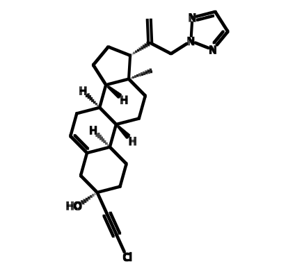 C=C(Cn1nccn1)[C@H]1CC[C@H]2[C@@H]3CC=C4C[C@](O)(C#CCl)CC[C@@H]4[C@H]3CC[C@]12C